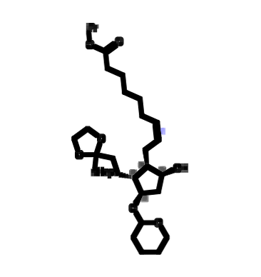 CCCCCCCC1(CC[C@@H]2[C@@H](C/C=C\CCCCCC(=O)OC(C)C)[C@@H](O)C[C@H]2OC2CCCCO2)OCCO1